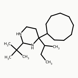 CCC(C)C1(C2CCCCCCCC2)CCNC(C(C)(C)C)N1